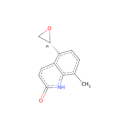 Cc1ccc([C@@H]2CO2)c2ccc(=O)[nH]c12